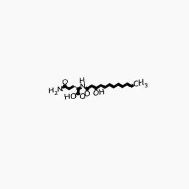 CCCCCCCCCC(O)CC(=O)N[C@@H](CCC(N)=O)C(=O)O